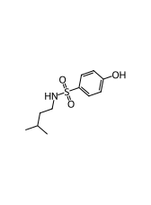 CC(C)CCNS(=O)(=O)c1ccc(O)cc1